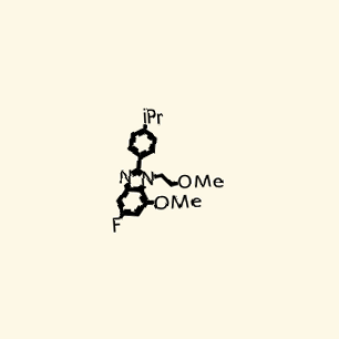 COCCn1c(-c2ccc(C(C)C)cc2)nc2cc(F)cc(OC)c21